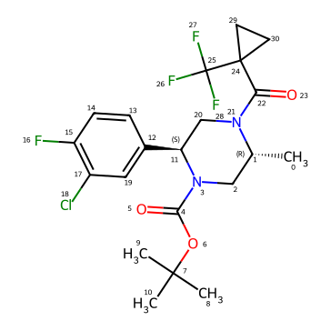 C[C@@H]1CN(C(=O)OC(C)(C)C)[C@@H](c2ccc(F)c(Cl)c2)CN1C(=O)C1(C(F)(F)F)CC1